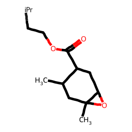 CC(C)CCOC(=O)C1CC2OC2(C)CC1C